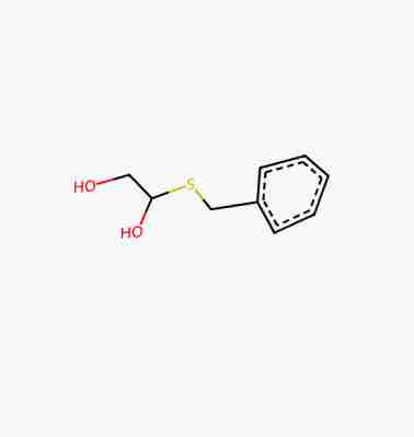 OCC(O)SCc1ccccc1